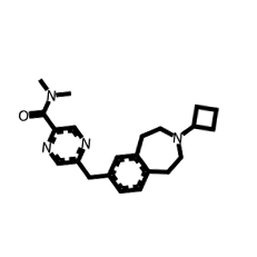 CN(C)C(=O)c1cnc(Cc2ccc3c(c2)CCN(C2CCC2)CC3)cn1